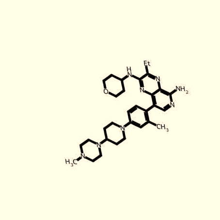 CCc1nc2c(N)ncc(-c3ccc(N4CCC(N5CCN(C)CC5)CC4)cc3C)c2nc1NC1CCOCC1